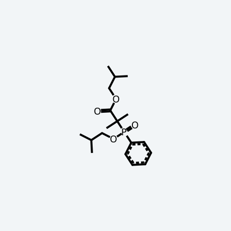 CC(C)COC(=O)C(C)(C)P(=O)(OCC(C)C)c1ccccc1